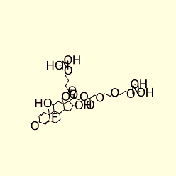 C[C@]12C=CC(=O)C=C1CCC1C3C[C@@H](O)[C@](OC(=O)CCCON(O)O)(C(=O)COC(=O)COCCOCCON(O)O)[C@@]3(C)C[C@H](O)C12F